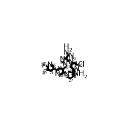 Nc1ncnc2c1ncn2Cc1cc(-c2cnc(F)c(F)c2)ncc1N1CCCC(N)(c2cccc(Cl)n2)C1